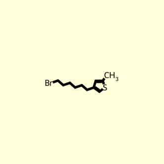 Cc1cc(CCCCCCBr)cs1